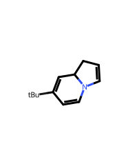 CC(C)(C)C1=CC2CC=CN2C=C1